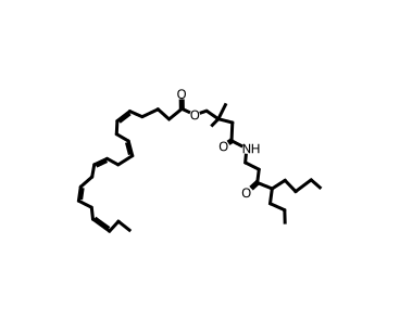 CC/C=C\C/C=C\C/C=C\C/C=C\C/C=C\CCCC(=O)OCC(C)(C)CC(=O)NCCC(=O)C(CCC)CCCC